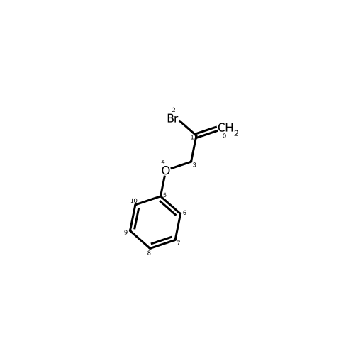 C=C(Br)COc1ccccc1